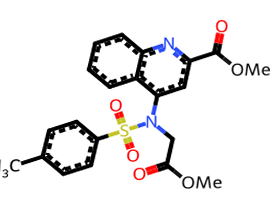 COC(=O)CN(c1cc(C(=O)OC)nc2ccccc12)S(=O)(=O)c1ccc(C)cc1